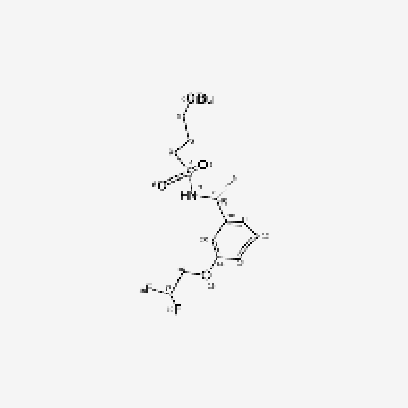 CC(C)COCCCS(=O)(=O)N[C@H](C)c1cccc(OCC(F)F)c1